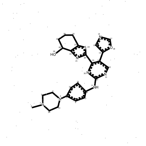 CN1CCN(c2ccc(Nc3ncc(-c4cnco4)c(-c4nc5c(s4)CCCC5O)n3)cc2)CC1